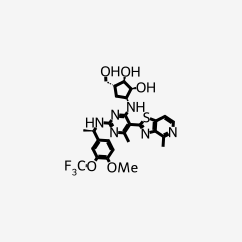 COc1ccc([C@@H](C)Nc2nc(C)c(-c3nc4c(C)nccc4s3)c(N[C@@H]3C[C@H](CO)[C@@H](O)[C@H]3O)n2)cc1OC(F)(F)F